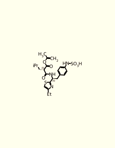 C=C(C)OC(=O)[C@@H](CC(C)C)C(=O)N[C@@H](Cc1ccc(NS(=O)(=O)O)cc1)c1nc(CC)cs1